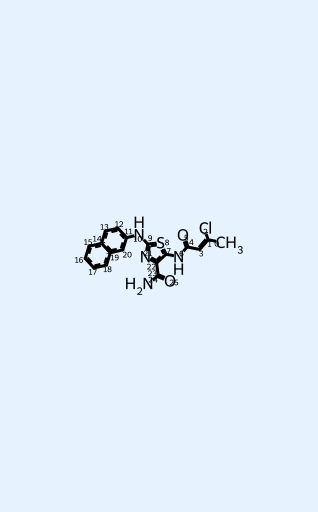 C/C(Cl)=C/C(=O)Nc1sc(Nc2ccc3ccccc3c2)nc1C(N)=O